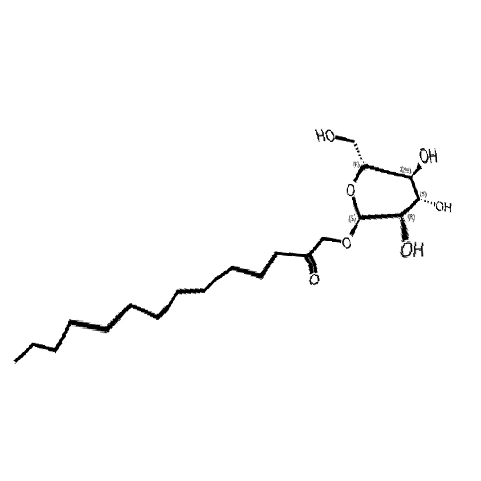 CCCCCCCCCCCCC(=O)CO[C@H]1O[C@H](CO)[C@@H](O)[C@H](O)[C@H]1O